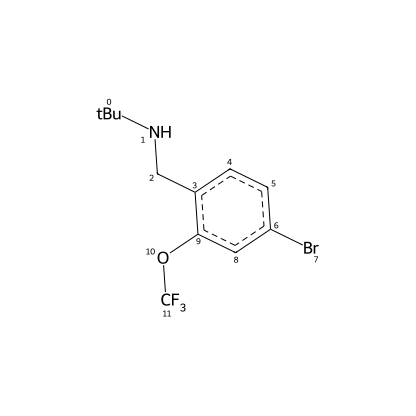 CC(C)(C)NCc1ccc(Br)cc1OC(F)(F)F